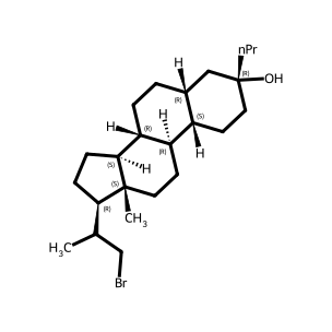 CCC[C@@]1(O)CC[C@H]2[C@H](CC[C@@H]3[C@@H]2CC[C@]2(C)[C@@H](C(C)CBr)CC[C@@H]32)C1